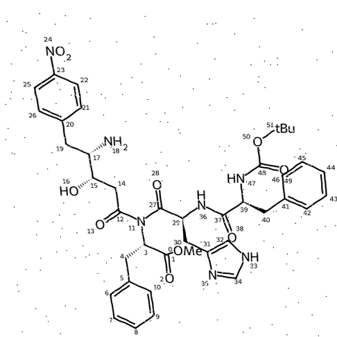 COC(=O)[C@H](Cc1ccccc1)N(C(=O)C[C@H](O)[C@@H](N)Cc1ccc([N+](=O)[O-])cc1)C(=O)[C@H](Cc1c[nH]cn1)NC(=O)[C@H](Cc1ccccc1)NC(=O)OC(C)(C)C